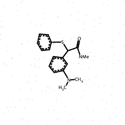 CNC(=O)C(Sc1cc[c]cc1)c1cccc(N(C)C)c1